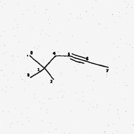 [CH2]C(C)(C)CC#CC